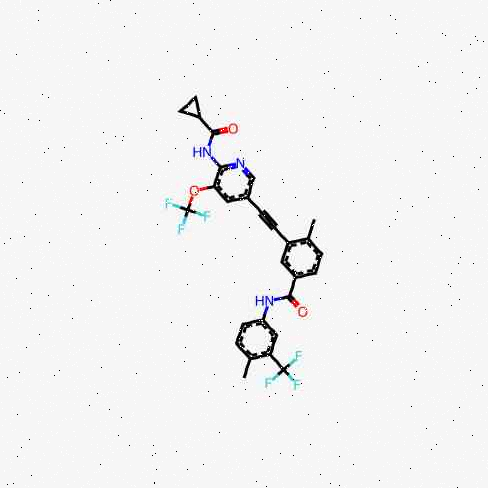 Cc1ccc(C(=O)Nc2ccc(C)c(C(F)(F)F)c2)cc1C#Cc1cnc(NC(=O)C2CC2)c(OC(F)(F)F)c1